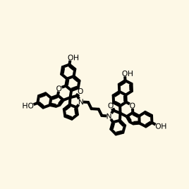 O=C1N(CCCCN2C(=O)C3(c4ccccc42)c2ccc4cc(O)ccc4c2Oc2c3ccc3cc(O)ccc23)c2ccccc2C12c1ccc3cc(O)ccc3c1Oc1c2ccc2cc(O)ccc12